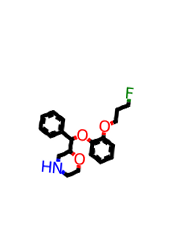 FCCCOc1ccccc1OC(c1ccccc1)C1CNCCO1